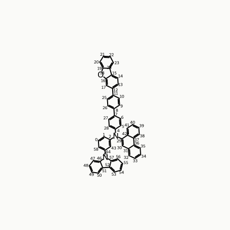 c1cc(N(c2ccc(-c3ccc(-c4ccc5c(c4)oc4ccccc45)cc3)cc2)c2cc3ccccc3c3ccccc23)cc(-n2c3ccccc3c3ccccc32)c1